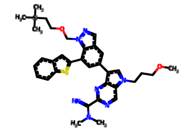 COCCCn1cc(-c2cc(-c3cc4ccccc4s3)c3c(cnn3COCC[Si](C)(C)C)c2)c2nc(C(=N)N(C)C)ncc21